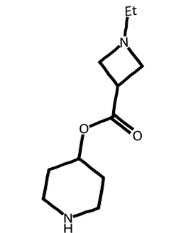 CCN1CC(C(=O)OC2CCNCC2)C1